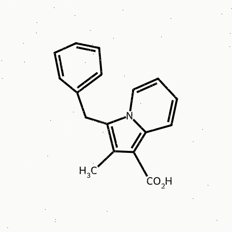 Cc1c(C(=O)O)c2ccccn2c1Cc1ccccc1